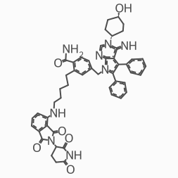 N=c1c2c(-c3ccccc3)c(-c3ccccc3)n(Cc3ccc(C(N)=O)c(CCCCCNc4cccc5c4C(=O)N(C4CCC(=O)NC4=O)C5=O)c3)c2ncn1[C@H]1CC[C@H](O)CC1